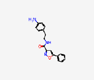 Nc1ccc(CCNC(=O)c2cc(-c3ccccc3)on2)cc1